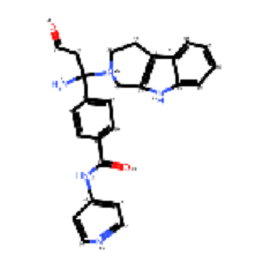 NC(CC=O)(c1ccc(C(=O)Nc2ccncc2)cc1)N1CCc2c([nH]c3ccccc23)C1